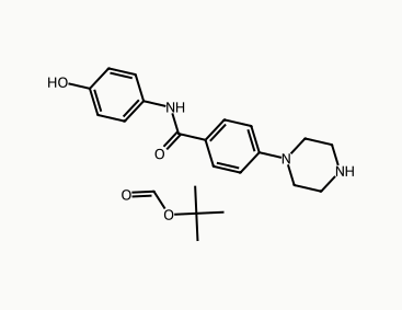 CC(C)(C)OC=O.O=C(Nc1ccc(O)cc1)c1ccc(N2CCNCC2)cc1